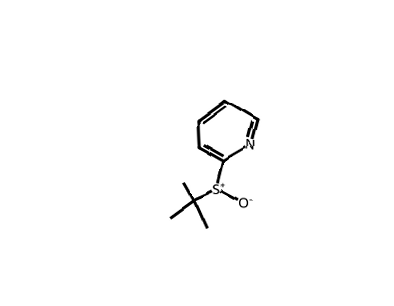 CC(C)(C)[S+]([O-])c1ccccn1